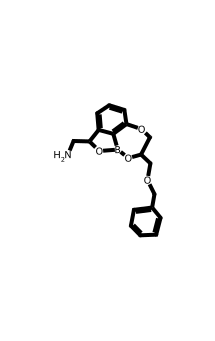 NCC1OB2OC(COCc3ccccc3)COc3cccc1c32